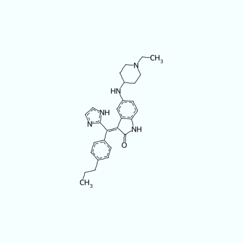 CCCc1ccc(C(=C2C(=O)Nc3ccc(NC4CCN(CC)CC4)cc32)c2ncc[nH]2)cc1